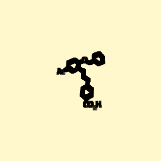 CC(=O)c1ccc(OCc2ccccc2)c(CCCc2ccc(C(=O)O)cc2)c1